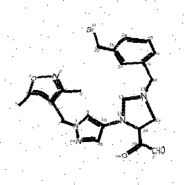 Cc1noc(C)c1Cn1cc(N2CN(Cc3cccc(CBr)c3)CC2C(=O)C=O)cn1